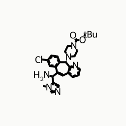 Cn1cncc1C(N)C1=Cc2cccnc2[C@@H](N2CCN(C(=O)OC(C)(C)C)CC2)c2ccc(Cl)cc21